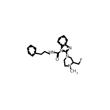 CN1CCN(c2nc3ccccc3n2C(=O)NCCCc2ccccc2)CC1CF